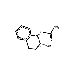 NC(=O)O[C@H]1c2ccccc2CC[C@H]1O